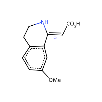 COc1ccc2c(c1)/C(=C/C(=O)O)NCC2